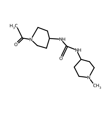 CC(=O)N1CCC(NC(=O)NC2CCN(C)CC2)CC1